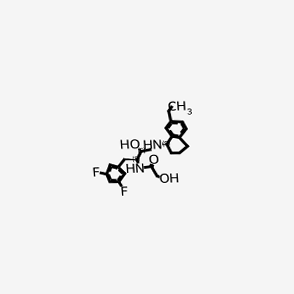 CCc1ccc2c(c1)[C@@H](NC[C@H](O)[C@H](Cc1cc(F)cc(F)c1)NC(=O)CO)CCC2